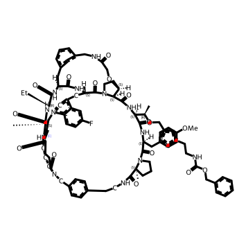 CC[C@H]1NC(=O)[C@H](C)NC(=O)CCC(=O)N2CCC/C=C/Cn3cc(c4cc(F)ccc43)C[C@@H]3NC(=O)[C@H](Cc4cccc(c4)CNC(=O)CO[C@H]4CCN(C3=O)[C@@H]4C(=O)N[C@@H]([C@@H](C)OCc3cn(CCNC(=O)OCc4ccccc4)nn3)C(=O)N[C@@H](Cc3ccc(OC)cc3)C(=O)N3CCC[C@@]3(C)C(=O)NCCc3ccc(cc3)C2)NC1=O